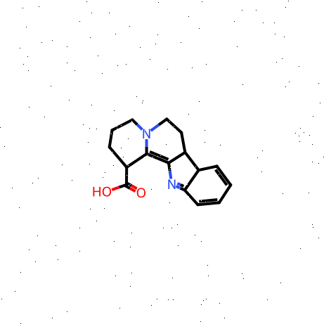 O=C(O)C1CCCN2CCC3C(=C12)N=C1C=CC=CC13